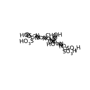 Cc1cc(N=Nc2c(SOOO)cc3cc(-n4nc5ccc6c(S(=O)(=O)O)cc(S(=O)(=O)O)cc6c5n4)ccc3c2O)c(C)cc1N=Nc1ccc(-n2nc3ccc4c(SOOO)cc(S(=O)(=O)O)cc4c3n2)cc1